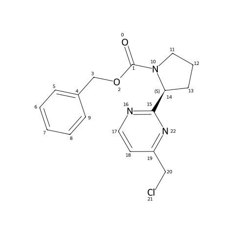 O=C(OCc1ccccc1)N1CCC[C@H]1c1nccc(CCl)n1